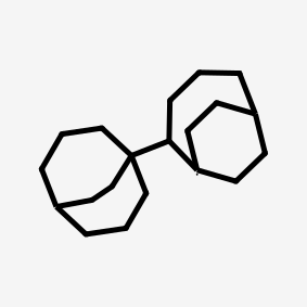 C1CC2CC[C](CC2)C(C23CCCC(CCC2)CC3)C1